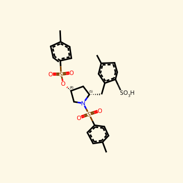 Cc1ccc(S(=O)(=O)O[C@@H]2C[C@H](Cc3cc(C)ccc3S(=O)(=O)O)N(S(=O)(=O)c3ccc(C)cc3)C2)cc1